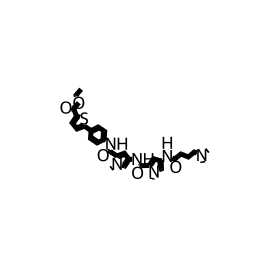 CCOC(=O)c1ccc(-c2ccc(NC(=O)c3cc(NC(=O)c4cc(NC(=O)CCCN(C)C)cn4C)cn3C)cc2)s1